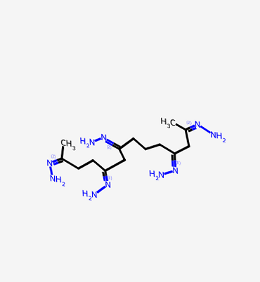 C/C(CC/C(C/C(CCC/C(C/C(C)=N\N)=N\N)=N\N)=N\N)=N/N